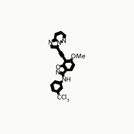 COc1ccc2c(Nc3cccc(C(Cl)(Cl)Cl)c3)noc2c1C#Cc1cnc2cccnn12